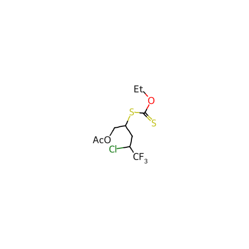 CCOC(=S)SC(COC(C)=O)CC(Cl)C(F)(F)F